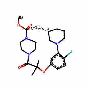 CCOC(=O)[C@@H]1CCCN(c2cc(OC(C)(C)C(=O)N3CCN(C(=O)OC(C)(C)C)CC3)ccc2F)C1